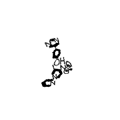 CS(=O)(=O)NC1CCN(c2ccccn2)C[C@H]1CO[C@H]1CC[C@@H](c2cncnc2)CC1